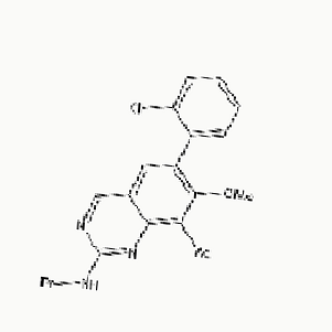 COc1c(-c2ccccc2Cl)cc2cnc(NC(C)C)nc2c1C(C)=O